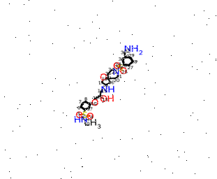 CNS(=O)(=O)c1cccc(OCC(O)CNC2COC3(CCN(S(=O)(=O)c4cccc(CN)c4)CC3)C2)c1